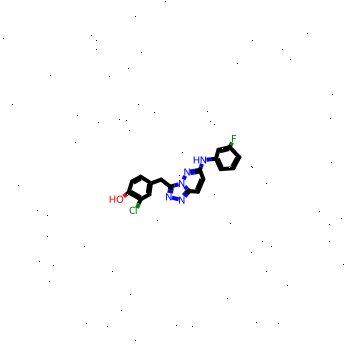 Oc1ccc(Cc2nnc3ccc(Nc4cccc(F)c4)nn23)cc1Cl